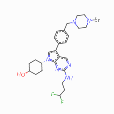 CCN1CCN(Cc2ccc(-c3cn([C@H]4CC[C@H](O)CC4)c4nc(NCCC(F)F)ncc34)cc2)CC1